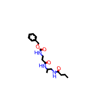 CCCC(=O)NCC(C)NC(=O)CCNC(=O)OCc1ccccc1